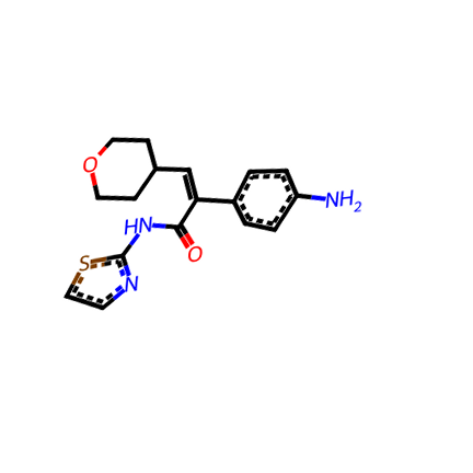 Nc1ccc(C(=CC2CCOCC2)C(=O)Nc2nccs2)cc1